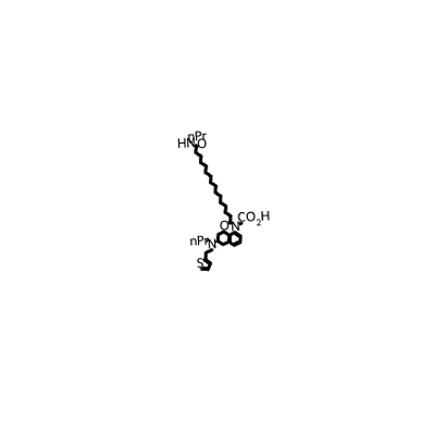 CCCNC(=O)CCCCCCCCCCCCCCC(=O)N(CC(=O)O)c1cccc2c1CC[C@H](N(CCC)CCc1cccs1)C2